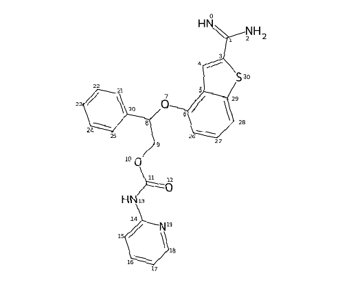 N=C(N)c1cc2c(OC(COC(=O)Nc3ccccn3)c3ccccc3)cccc2s1